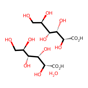 O.O=C(O)[C@H](O)[C@@H](O)[C@H](O)[C@H](O)CO.O=C(O)[C@H](O)[C@@H](O)[C@H](O)[C@H](O)CO